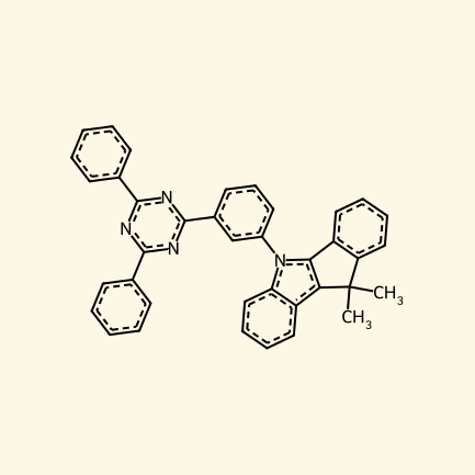 CC1(C)c2ccccc2-c2c1c1ccccc1n2-c1cccc(-c2nc(-c3ccccc3)nc(-c3ccccc3)n2)c1